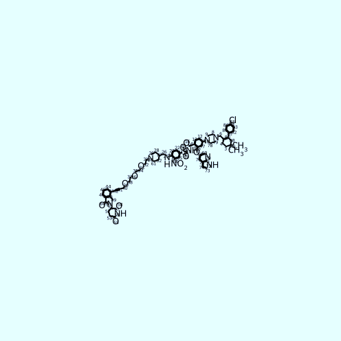 CC1(C)CCC(CN2CCN(c3ccc(C(=O)NS(=O)(=O)c4ccc(NCC5CCN(CCOCCOCCOCC#Cc6cccc7c6CN(C6CCC(=O)NC6=O)C7=O)CC5)c([N+](=O)[O-])c4)c(Oc4cnc5[nH]ccc5c4)c3)CC2)=C(c2ccc(Cl)cc2)C1